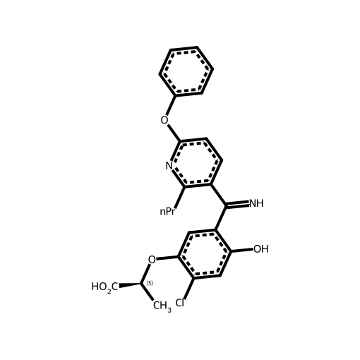 CCCc1nc(Oc2ccccc2)ccc1C(=N)c1cc(O[C@@H](C)C(=O)O)c(Cl)cc1O